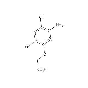 Nc1nc(OCC(=O)O)c(Cl)cc1Cl